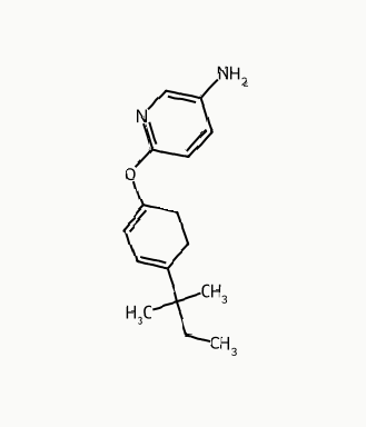 CCC(C)(C)C1=CC=C(Oc2ccc(N)cn2)CC1